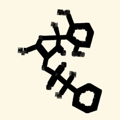 [2H]C([2H])(c1ccccc1)S(=O)(=O)OC1=C(N)O[C@]([2H])(c2c(OC)cccc2OC)C1=O